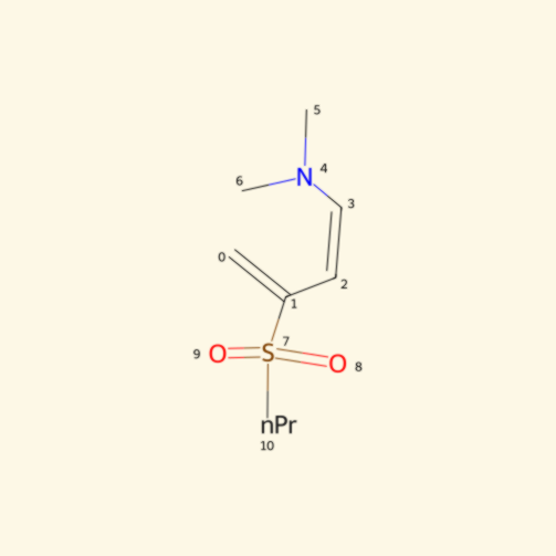 C=C(/C=C\N(C)C)S(=O)(=O)CCC